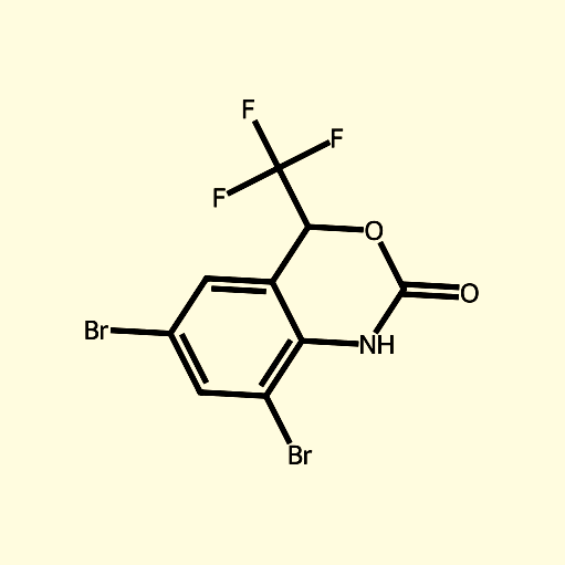 O=C1Nc2c(Br)cc(Br)cc2C(C(F)(F)F)O1